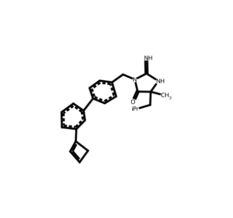 CC(C)CC1(C)NC(=N)N(Cc2ccc(-c3cccc(C4=C=CC4)c3)cc2)C1=O